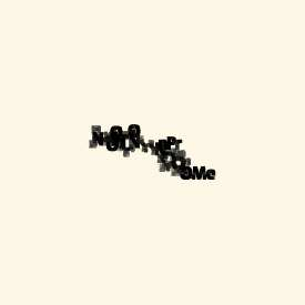 CCCN(CCCCN1CCCN(S(=O)(=O)CCN(C)C)CC1=O)C1CCc2cc(OC)ccc2C1